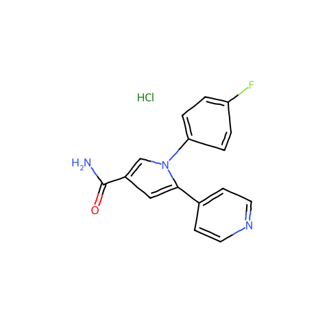 Cl.NC(=O)c1cc(-c2ccncc2)n(-c2ccc(F)cc2)c1